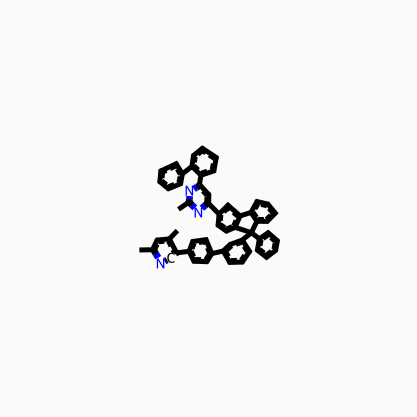 Cc1cc(C)c(-c2ccc(-c3cccc(C4(c5ccccc5)c5ccccc5-c5cc(-c6cc(-c7ccccc7-c7ccccc7)nc(C)n6)ccc54)c3)cc2)cn1